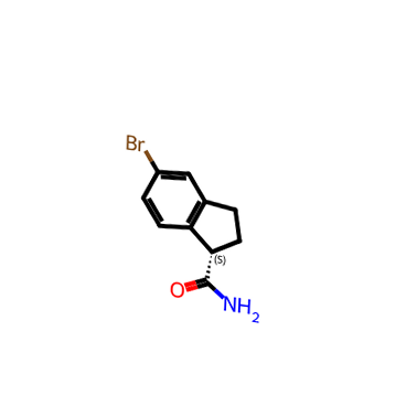 NC(=O)[C@H]1CCc2cc(Br)ccc21